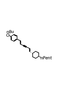 CCCCC[C@H]1CC[C@H](C=CC#CC=Cc2ccc(OCCCC)cc2)CC1